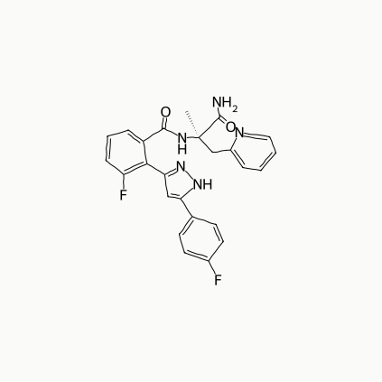 C[C@](Cc1ccccn1)(NC(=O)c1cccc(F)c1-c1cc(-c2ccc(F)cc2)[nH]n1)C(N)=O